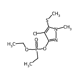 CCOP(=O)(CC)Oc1nn(C)c(SC)c1Cl